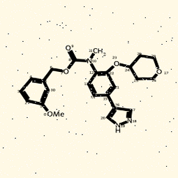 COc1cccc(COC(=O)N(C)c2ccc(-c3cn[nH]c3)cc2OC2CCOCC2)c1